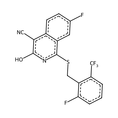 N#Cc1c(O)nc(SCc2c(F)cccc2C(F)(F)F)c2cc(F)ccc12